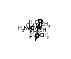 Cc1cc(F)c(C(C)C)cc1OCc1c(C)nc(-c2c(C)cccc2C)nc1N1CCN(CC(N)=O)[C@H](C)C1